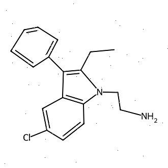 CCc1c(-c2ccccc2)c2cc(Cl)ccc2n1CCN